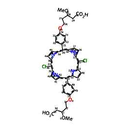 COC(CCOc1ccc(-c2c3nc(c(Cl)c4ccc([nH]4)c(-c4ccc(OCCC(CC(=O)O)OC)cc4)c4nc(c(Cl)c5ccc2[nH]5)C=C4)C=C3)cc1)CC(=O)O